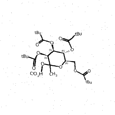 CC(C)(C)C(=O)OC[C@H]1OC(C)(OC(=O)O)[C@@H](OC(=O)C(C)(C)C)[C@@H](OC(=O)C(C)(C)C)[C@@H]1OC(=O)C(C)(C)C